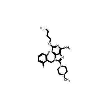 CCCCOc1nc(N)c2nc(N3CCN(C)CC3)n(Cc3c(F)cccc3F)c2n1